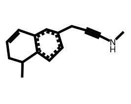 CNC#CCc1ccc2c(c1)C=CCC2C